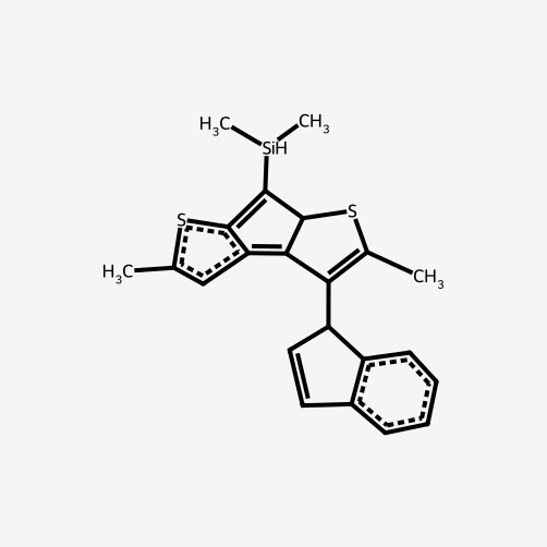 CC1=C(C2C=Cc3ccccc32)C2=c3cc(C)sc3=C([SiH](C)C)C2S1